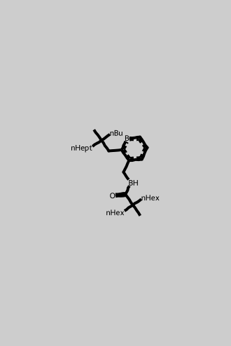 CCCCCCCC(C)(CCCC)Cc1bcccc1CBC(=O)C(C)(CCCCCC)CCCCCC